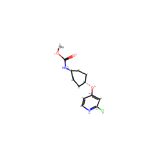 CC(C)(C)OC(=O)N[C@H]1CC[C@H](Oc2ccnc(Cl)c2)CC1